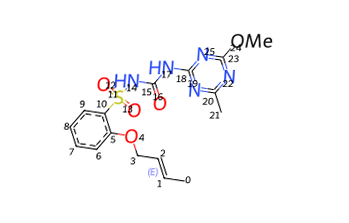 C/C=C/COc1ccccc1S(=O)(=O)NC(=O)Nc1nc(C)nc(OC)n1